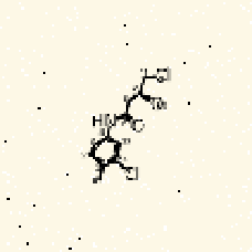 Cc1ccc(NC(=O)CC(=O)CCl)cc1Cl